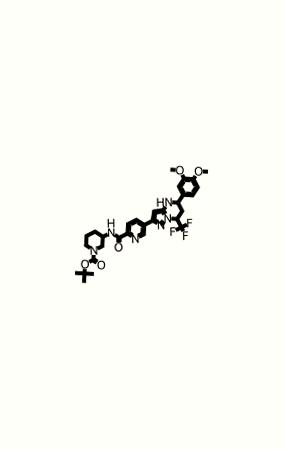 COc1ccc(C2CC(C(F)(F)F)n3nc(-c4ccc(C(=O)NC5CCCN(C(=O)OC(C)(C)C)C5)nc4)cc3N2)cc1OC